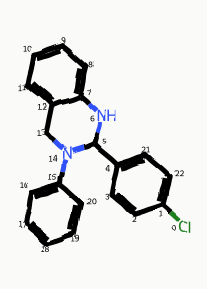 Clc1ccc(C2Nc3ccccc3CN2c2ccccc2)cc1